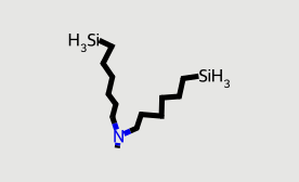 CN(CCCCCC[SiH3])CCCCCC[SiH3]